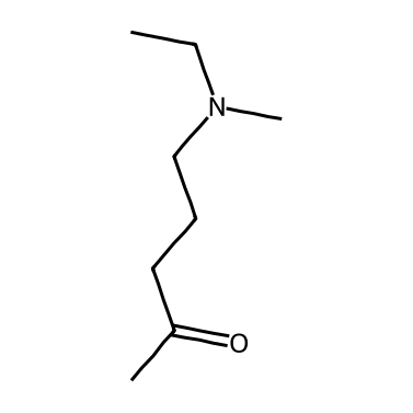 CCN(C)CCCC(C)=O